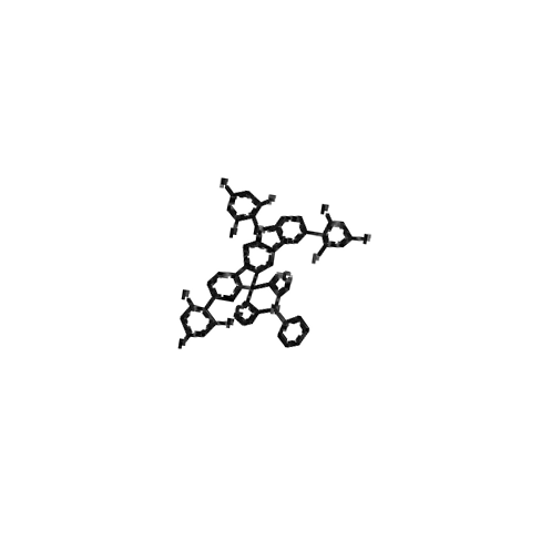 Fc1cc(F)c(-c2ccc3c(c2)C2(c4cc5c6cc(-c7c(F)cc(F)cc7F)ccc6n(-c6c(F)cc(F)cc6F)c5cc4-3)c3ccccc3N(c3ccccc3)c3ccccc32)c(F)c1